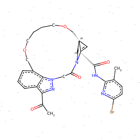 CC(=O)c1nn2c3c(cccc13)COCCCCOC[C@]13C=C1N(C(=O)C2)[C@H](C(=O)Nc1nc(Br)ccc1C)C3